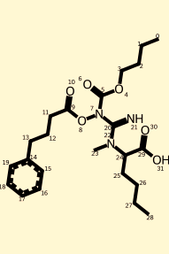 CCCCOC(=O)N(OC(=O)CCCc1ccccc1)C(=N)N(C)C(CCCC)C(=O)O